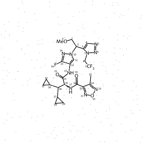 COCC(c1cnnn1CC(F)(F)F)n1cc(NC(=O)[C@@H](NC(=O)c2nonc2C)C(C2CC2)C2CC2)c(F)n1